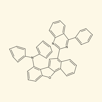 c1ccc(-c2nc(-c3cc4c(oc5cccc(N(c6ccccc6)c6ccccc6)c54)c4ccccc34)nc3ccccc23)cc1